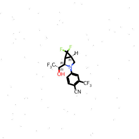 N#Cc1ccc(N2C[C@H]3C([C@@H]2[C@H](O)C(F)(F)F)C3(F)F)cc1C(F)(F)F